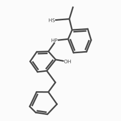 CC(S)c1ccccc1Pc1cccc(CC2C=CC=CC2)c1O